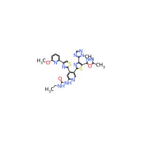 CCNC(=O)Nc1cc(-c2nc(-c3cccc(OC)n3)cs2)c(-c2nc(-c3ncnn3C)c(-c3nnc(C)o3)s2)cn1